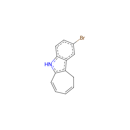 Brc1ccc2[nH]c3c(c2c1)CC=CC=C3